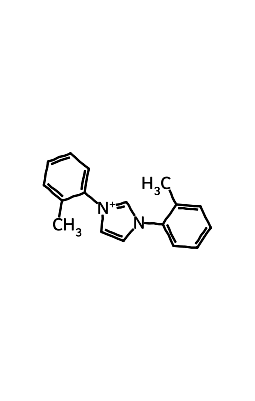 Cc1ccccc1-n1cc[n+](-c2ccccc2C)c1